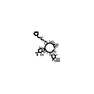 CC[C@H]1OC(=O)[C@H](C)[C@@H](O[C@H]2C[C@@](C)(OC)[C@@H](O)[C@H](C)O2)[C@H](C)[C@@H](O[C@@H]2O[C@H](C)CC(N(C)C)[C@H]2O)C(C)(O)C[C@@H](C)/C(=N\OCCNCc2ccccc2)[C@H](C)[C@@H](O)[C@]1(C)O